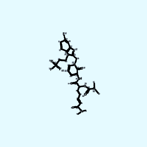 CN(C)C(=O)C=CCCC(OC(=O)N(C)C)C(=O)Nc1cccn(Cc2nc3cc(F)ccc3n2CCC(F)(F)F)c1=O